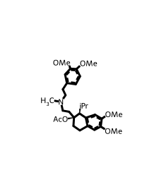 COc1ccc(CCN(C)CC[C@@]2(OC(C)=O)CCc3cc(OC)c(OC)cc3[C@@H]2C(C)C)cc1OC